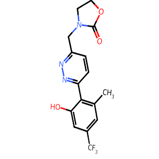 Cc1cc(C(F)(F)F)cc(O)c1-c1ccc(CN2CCOC2=O)nn1